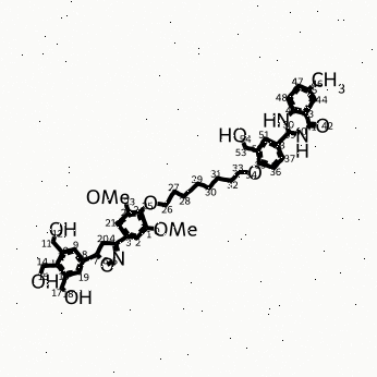 COc1cc(C2=NOC(c3cc(CO)c(CO)c(CO)c3)C2)cc(OC)c1OCCCCCCCCOc1ccc(C2NC(=O)c3cc(C)ccc3N2)cc1CO